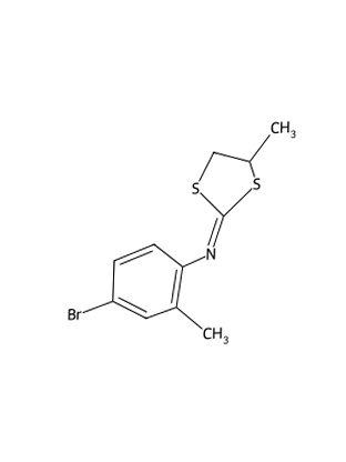 Cc1cc(Br)ccc1N=C1SCC(C)S1